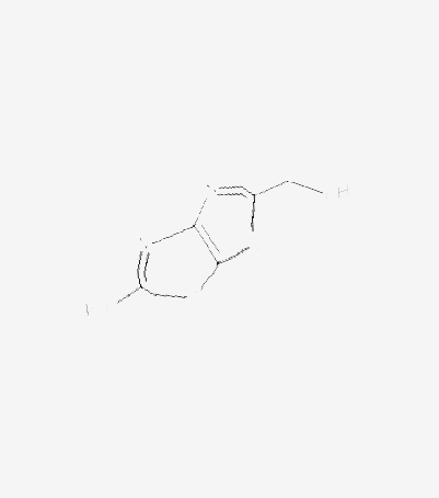 CCc1nc2nc(C)sc2s1